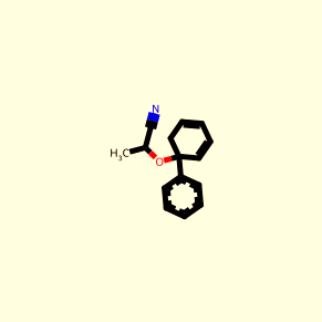 CC(C#N)OC1(c2ccccc2)C=CC=CC1